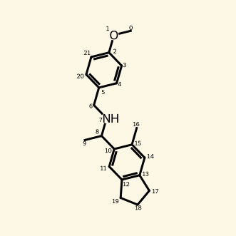 COc1ccc(CNC(C)c2cc3c(cc2C)CCC3)cc1